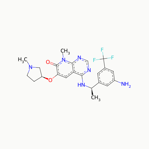 C[C@@H](Nc1ncnc2c1cc(O[C@H]1CCN(C)C1)c(=O)n2C)c1cc(N)cc(C(F)(F)F)c1